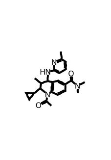 CC(=O)N1c2ccc(C(=O)N(C)C)cc2C(Nc2cccc(C)n2)C(C)C1C1CC1